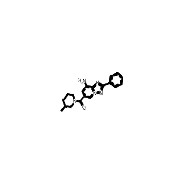 CC1CCCN(C(=O)c2cc(N)c3nc(-c4ccccc4)nn3c2)C1